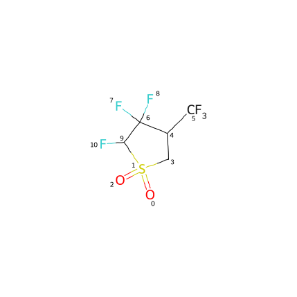 O=S1(=O)CC(C(F)(F)F)C(F)(F)C1F